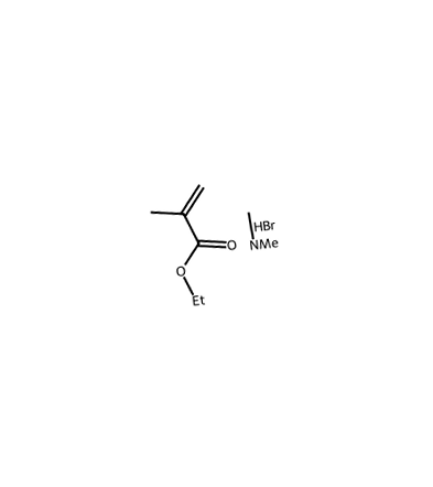 Br.C=C(C)C(=O)OCC.CNC